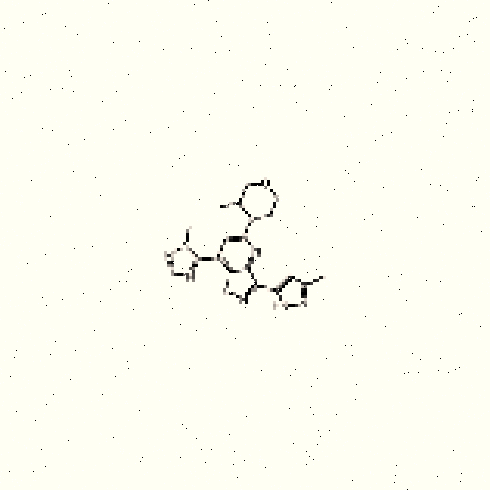 Cc1cc(-c2nsc3c(-c4ncnn4C)cc(N4CCOCC4C)nc23)[nH]n1